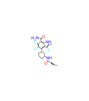 CC#CC(=O)NC1CCCC(c2c(F)c(F)c(C(N)=O)c3[nH]c(C)c(F)c23)C1